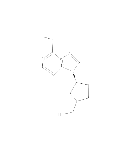 OCC1CC[C@H](n2cnc3c(NCl)nccc32)C1